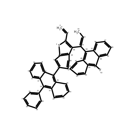 C=Cc1sc2cc(-c3c4ccccc4c(-c4ccccc4)c4ccccc34)ccc2c1/C(=C\C)c1c2ccccc2c(F)c2ccccc12